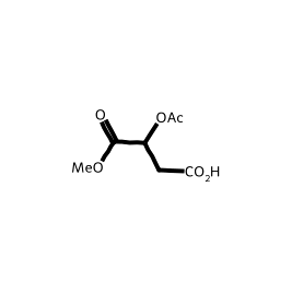 COC(=O)C(CC(=O)O)OC(C)=O